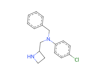 Clc1ccc(N(Cc2ccccc2)CC2CCN2)cc1